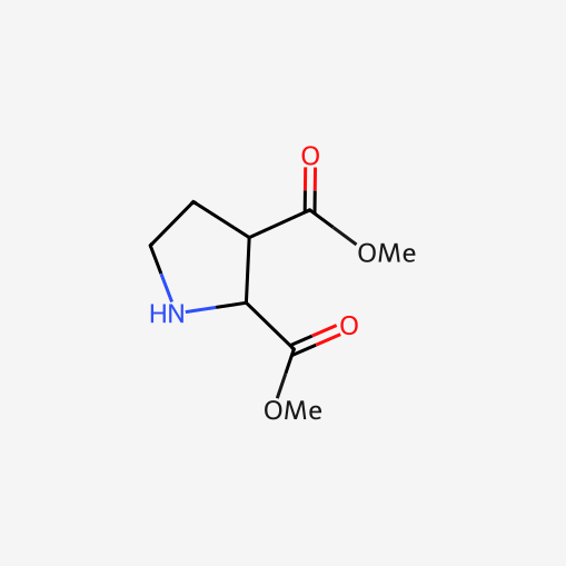 COC(=O)C1CCNC1C(=O)OC